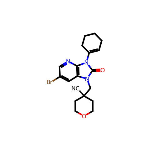 N#CC1(Cn2c(=O)n(C3=CCCCC3)c3ncc(Br)cc32)CCOCC1